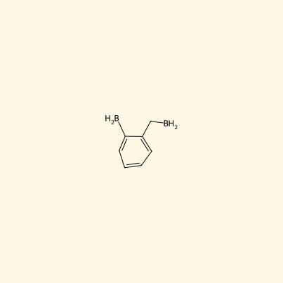 BCc1ccccc1B